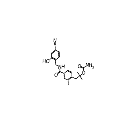 Cc1cc(C(=O)NCc2ccc(C#N)cc2O)ccc1CC(C)(C)OC(N)=O